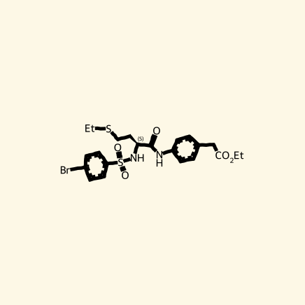 CCOC(=O)Cc1ccc(NC(=O)[C@H](CCSCC)NS(=O)(=O)c2ccc(Br)cc2)cc1